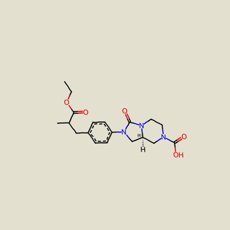 CCOC(=O)C(C)Cc1ccc(N2C[C@@H]3CN(C(=O)O)CCN3C2=O)cc1